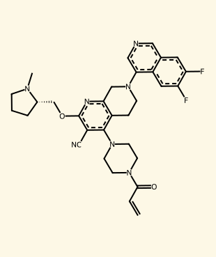 C=CC(=O)N1CCN(c2c(C#N)c(OC[C@@H]3CCCN3C)nc3c2CCN(c2cncc4cc(F)c(F)cc24)C3)CC1